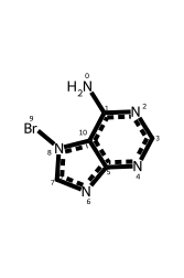 Nc1ncnc2ncn(Br)c12